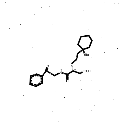 CC(C)(C)C1(CCC[C@H](CC(=O)O)C(=O)NCC(=O)c2ccccc2)CCCCC1